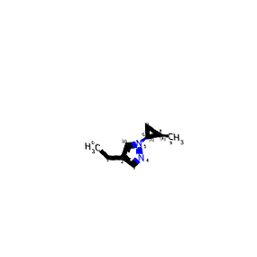 CCc1cnn([C@H]2C[C@H]2C)c1